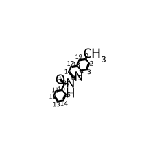 Cc1ccc2nc(NC(=O)c3ccccc3)ccc2c1